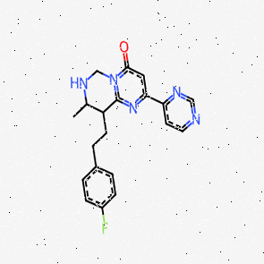 CC1NCn2c(nc(-c3ccncn3)cc2=O)C1CCc1ccc(F)cc1